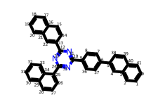 c1ccc2cc(-c3ccc(-c4nc(-c5ccc6ccccc6c5)nc(-c5cccc6ccccc56)n4)cc3)ccc2c1